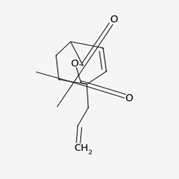 C=CCC12C=CC(CC1)C(=O)OC2=O